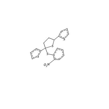 O=[N+]([O-])c1ccccc1SC1(c2cccs2)CCC(c2cccs2)S1